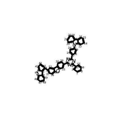 c1ccc(-c2nc(-c3ccc(-n4c5ccccc5c5ccccc54)cc3)nc(-c3ccc4c(c3)oc3ccc(-c5cccc6sc7ccccc7c56)cc34)n2)cc1